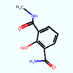 CNC(=O)c1cccc(C(N)=O)c1O